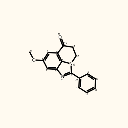 COc1cc2c3c(c1)nc(-c1ccccc1)n3CCC2=O